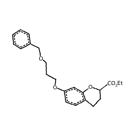 CCOC(=O)C1CCc2ccc(OCCCOCc3ccccc3)cc2O1